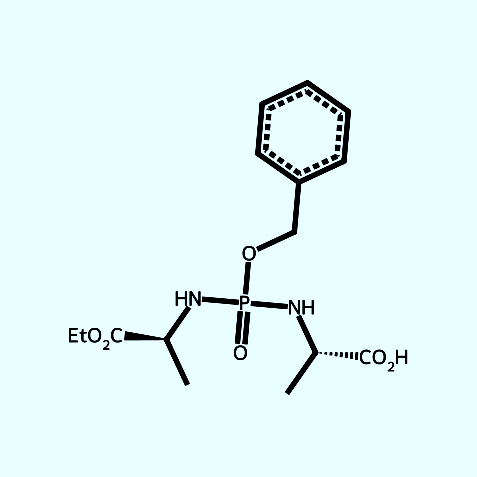 CCOC(=O)[C@H](C)NP(=O)(N[C@@H](C)C(=O)O)OCc1ccccc1